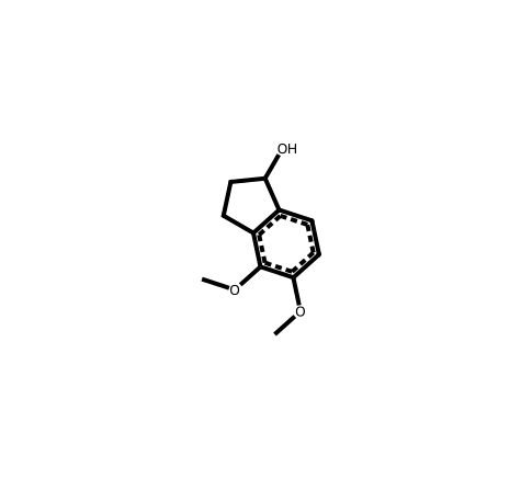 COc1ccc2c(c1OC)CCC2O